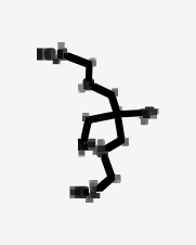 CCCC(CN)(COCC(=O)O)COCC(=O)O